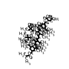 C=C(C)C(=O)OCC1CC(C(C)(C)C)C(OC(=O)c2c(N(C)C(=O)C(CC)(CC)CC)[nH]c(/C=C3\N=C(NC(=O)C(CC)(CC)CC)C(C(=O)OC4C(C(C)(C)C)CC(CSC(CC(=O)O)C(=O)O)CC4C(C)(C)C)=C3C(C)C)c2C(C)C)C(C(C)(C)C)C1